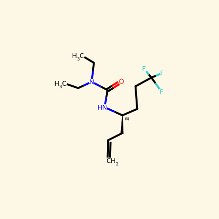 C=CC[C@H](CCC(F)(F)F)NC(=O)N(CC)CC